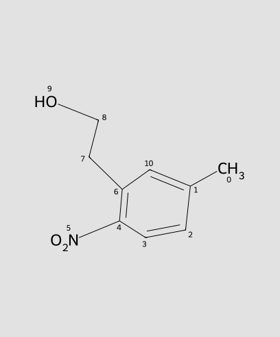 Cc1ccc([N+](=O)[O-])c(CCO)c1